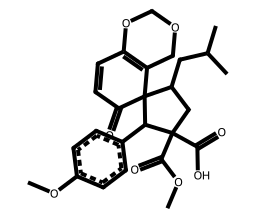 COC(=O)C1(C(=O)O)CC(CC(C)C)C2(C(=O)C=CC3=C2COCO3)C1c1ccc(OC)cc1